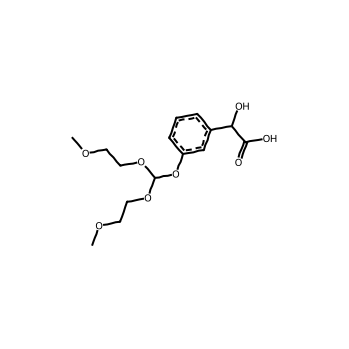 COCCOC(OCCOC)Oc1cccc(C(O)C(=O)O)c1